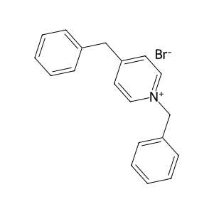 [Br-].c1ccc(Cc2cc[n+](Cc3ccccc3)cc2)cc1